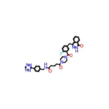 O=C(CCCC(=O)N1CCN(C(=O)c2cc(Cc3n[nH]c(=O)c4ccccc34)ccc2F)CC1)NCc1ccc(-c2nncnn2)cc1